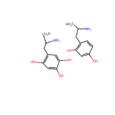 NC(Cc1cc(O)c(O)cc1O)C(=O)O.NC(Cc1ccc(O)cc1O)C(=O)O